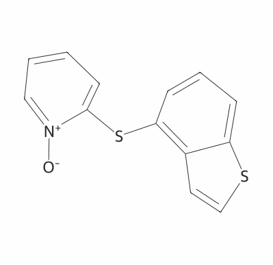 [O-][n+]1ccccc1Sc1cccc2sccc12